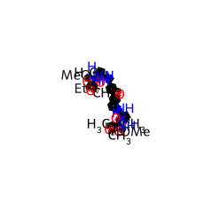 CC[C@@H]1C[C@H](C(NC(=O)OC)C(=O)N2[C@@H](C)CC[C@H]2c2ncc(-c3ccc4c(c3)COc3cc5c(ccc6nc([C@@H]7CC[C@H](C)N7C(=O)[C@@H](NC(=O)OC)C7C[C@@H](C)O[C@H](C)C7)[nH]c65)cc3-4)[nH]2)C[C@H](C)O1